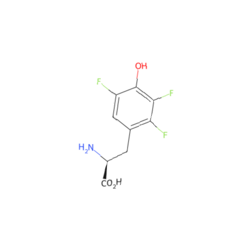 N[C@@H](Cc1cc(F)c(O)c(F)c1F)C(=O)O